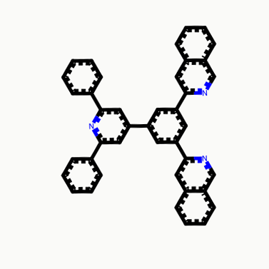 c1ccc(-c2cc(-c3cc(-c4cc5ccccc5cn4)cc(-c4cc5ccccc5cn4)c3)cc(-c3ccccc3)n2)cc1